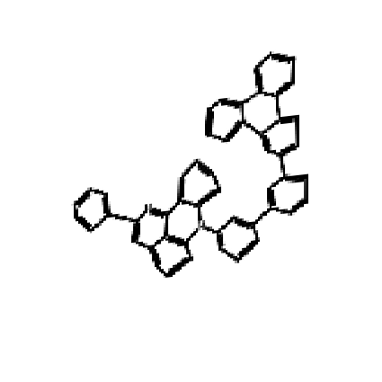 c1ccc(-c2cc3cccc4c3c(n2)-c2ccccc2N4c2cccc(-c3cccc(-c4ccc5c6ccccc6c6ccccc6c5c4)c3)c2)cc1